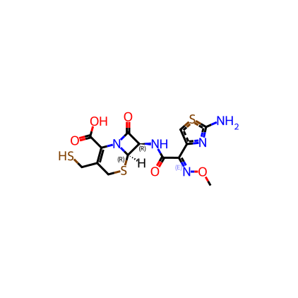 CO/N=C(/C(=O)N[C@@H]1C(=O)N2C(C(=O)O)=C(CS)CS[C@H]12)c1csc(N)n1